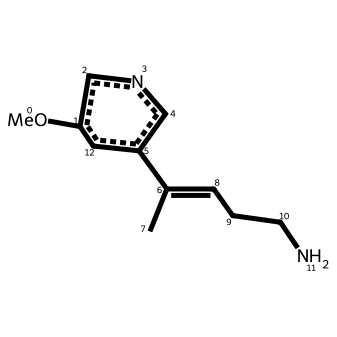 COc1cncc(C(C)=CCCN)c1